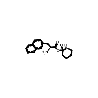 CC1(OC(=O)[C@@H](N)Cc2ccc3ccccc3c2)CCCCN1